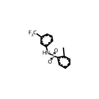 Cc1ccccc1S(=O)(=O)Nc1cccc(C(F)(F)F)c1